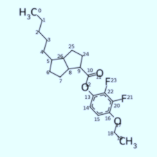 CCCCCC1CCC2C(C(=O)Oc3ccc(OCC)c(F)c3F)CCC12